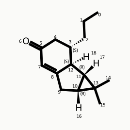 CCC[C@H]1CC(=O)C=C2C[C@@H]3[C@H]([C@@H]21)C3(C)C